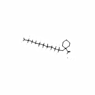 CCCCOC(=O)C1(CC(F)(F)C(F)(F)C(F)(F)C(F)(F)C(F)(F)C(F)(F)C(F)(F)C(F)(F)C(F)(F)C(F)F)CCCCC1